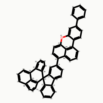 c1ccc(-c2ccc3c(c2)Oc2ccc(-c4ccc5c(c4)C4(c6ccccc6-5)c5ccccc5-c5cccc6cccc4c56)c4cccc-3c24)cc1